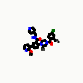 CCOc1ncccc1-c1ccc(N2CCN(C(=O)c3ccc(Cl)cc3C(F)(F)F)C[C@H]2CC)c(C(=O)NCc2ccncc2)c1